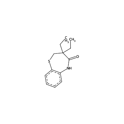 CCC1(CC)CSc2ccccc2NC1=O